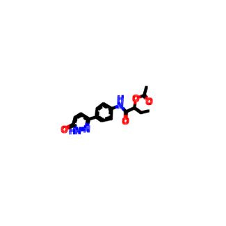 CCC(OC(C)=O)C(=O)Nc1ccc(-c2ccc(=O)[nH]n2)cc1